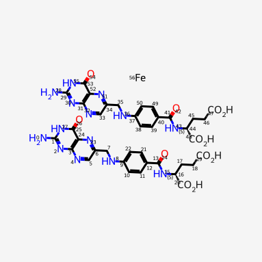 Nc1nc2ncc(CNc3ccc(C(=O)N[C@@H](CCC(=O)O)C(=O)O)cc3)nc2c(=O)[nH]1.Nc1nc2ncc(CNc3ccc(C(=O)N[C@@H](CCC(=O)O)C(=O)O)cc3)nc2c(=O)[nH]1.[Fe]